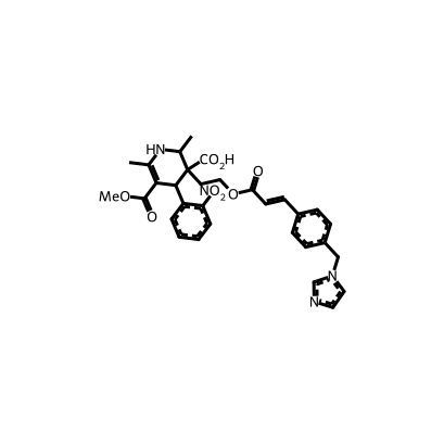 COC(=O)C1=C(C)NC(C)C(CCOC(=O)C=Cc2ccc(Cn3ccnc3)cc2)(C(=O)O)C1c1ccccc1[N+](=O)[O-]